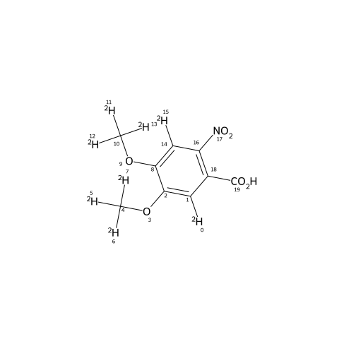 [2H]c1c(OC([2H])([2H])[2H])c(OC([2H])([2H])[2H])c([2H])c([N+](=O)[O-])c1C(=O)O